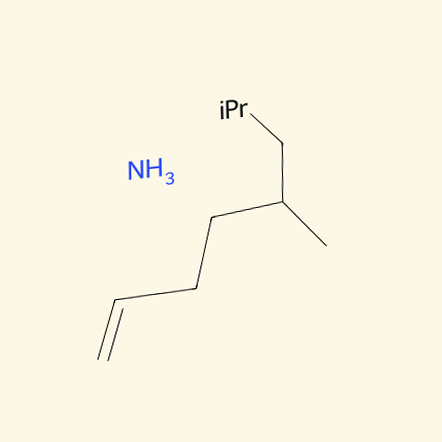 C=CCCC(C)CC(C)C.N